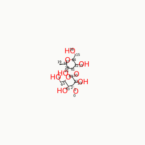 CO[C@@H]1C(O)C(CO)O[C@H](O[C@H]2C(O)C(CO)O[C@H](C)[C@H]2O)[C@H]1O